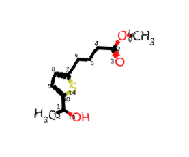 COC(=O)CCCc1ccc(C(C)O)s1